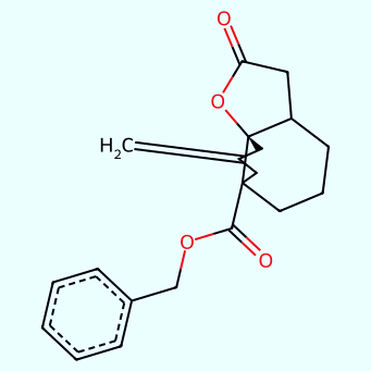 C=C1CC2(C(=O)OCc3ccccc3)CCCC3CC(=O)O[C@]32C1